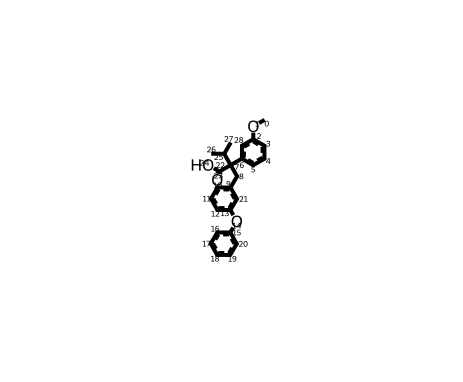 COc1cccc(C(Cc2cccc(Oc3ccccc3)c2)(C(=O)O)C(C)C)c1